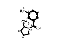 CC(=O)c1cccc(C(=O)N2CCCC2C)c1